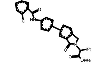 COC(=O)C(C(C)C)N1Cc2ccc(-c3ccc(NC(=O)c4ccccc4Cl)cc3)cc2C1=O